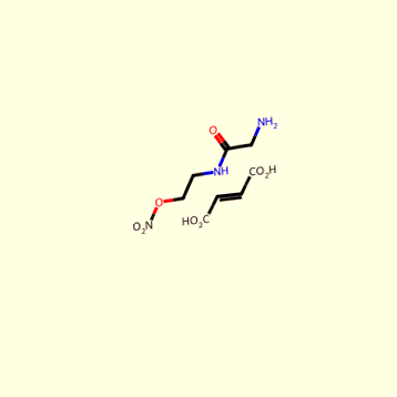 NCC(=O)NCCO[N+](=O)[O-].O=C(O)C=CC(=O)O